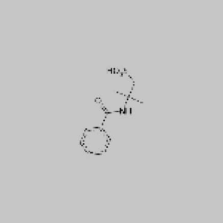 CC(C)(CS(=O)(=O)O)NC(=O)c1ccccc1